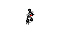 Cc1cc(C)cc(-c2[nH]c3cc[c]cc3c2CCNC(CCCc2ccc(NS(C)(=O)=O)cc2)C(=O)OCc2ccccc2)c1